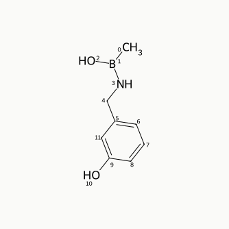 CB(O)NCc1cccc(O)c1